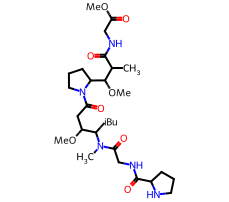 CCC(C)C(C(CC(=O)N1CCCC1C(OC)C(C)C(=O)NCC(=O)OC)OC)N(C)C(=O)CNC(=O)C1CCCN1